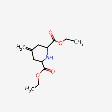 C=C1CC(C(=O)OCC)NC(C(=O)OCC)C1